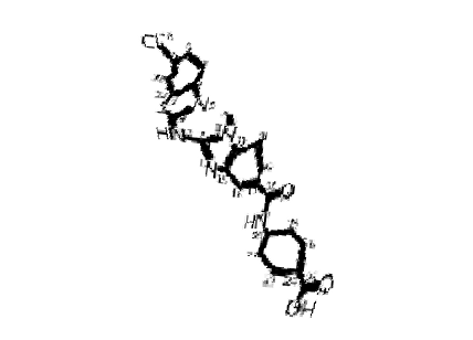 Cn1c(Nc2nc3ccc(Cl)cc3s2)nc2cc(C(=O)NC3CCC(C(=O)O)CC3)ccc21